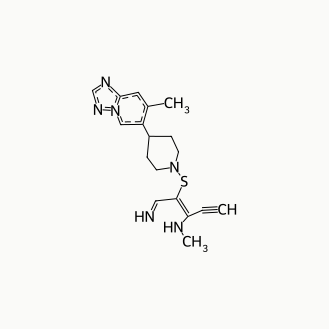 C#C/C(NC)=C(/C=N)SN1CCC(c2cn3ncnc3cc2C)CC1